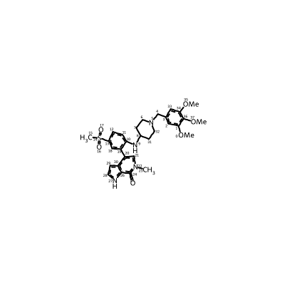 COc1cc(CN2CCC(Nc3ccc(S(C)(=O)=O)cc3-c3cn(C)c(=O)c4[nH]ccc34)CC2)cc(OC)c1OC